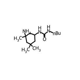 CCCCNC(=O)NC1CC(C)(C)CC(C)(N)C1